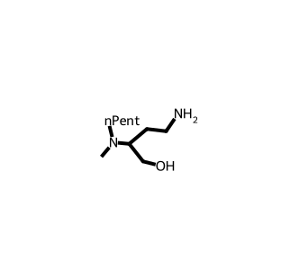 CCCCCN(C)C(CO)CCN